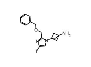 NC12CC(n3cc(I)nc3COCc3ccccc3)(C1)C2